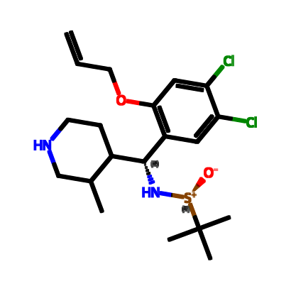 C=CCOc1cc(Cl)c(Cl)cc1[C@H](N[S@@+]([O-])C(C)(C)C)C1CCNCC1C